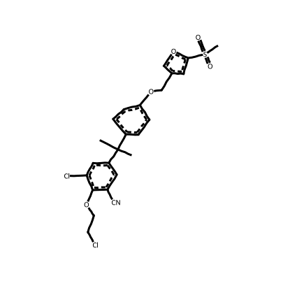 CC(C)(c1ccc(OCc2coc(S(C)(=O)=O)c2)cc1)c1cc(Cl)c(OCCCl)c(C#N)c1